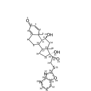 CC12C=CC(=O)C=C1CCC1C2[C@@H](O)CC2(C)C1CC[C@]2(O)C(=O)CSc1nc2ncccc2o1